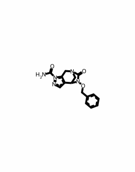 NC(=O)n1ncc2c1CN1CC2N(OCc2ccccc2)C1=O